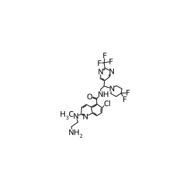 CN(CCN)c1ccc2c(C(=O)NCC(c3cnc(C(F)(F)F)nc3)N3CCC(F)(F)CC3)c(Cl)ccc2n1